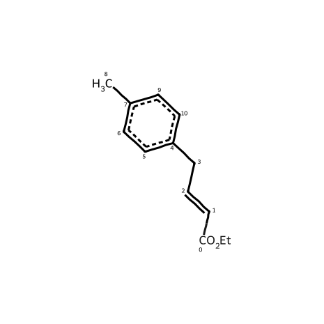 CCOC(=O)C=CCc1ccc(C)cc1